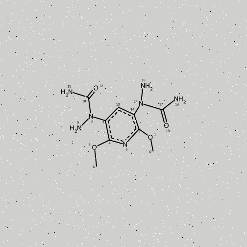 COc1nc(OC)c(N(N)C(N)=O)cc1N(N)C(N)=O